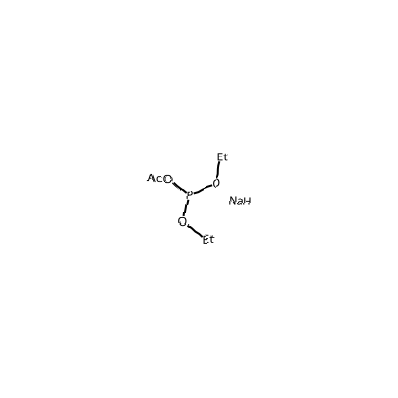 CCOP(OCC)OC(C)=O.[NaH]